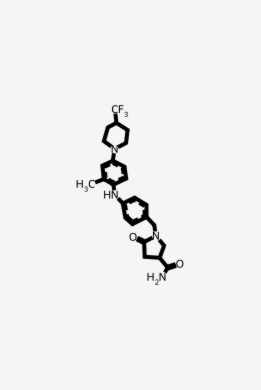 Cc1cc(N2CCC(C(F)(F)F)CC2)ccc1Nc1ccc(CN2CC(C(N)=O)CC2=O)cc1